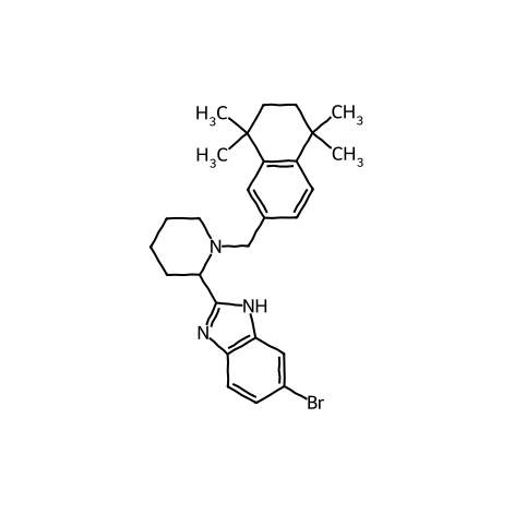 CC1(C)CCC(C)(C)c2cc(CN3CCCCC3c3nc4ccc(Br)cc4[nH]3)ccc21